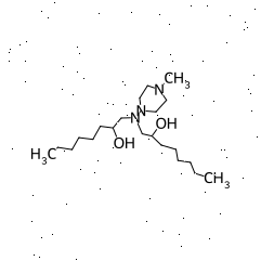 CCCCCCC(O)CN(CC(O)CCCCCC)N1CCN(C)CC1